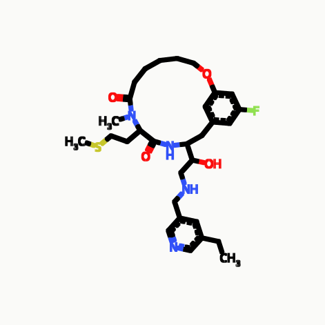 CCc1cncc(CNCC(O)C2Cc3cc(F)cc(c3)OCCCCCC(=O)N(C)C(CCSC)C(=O)N2)c1